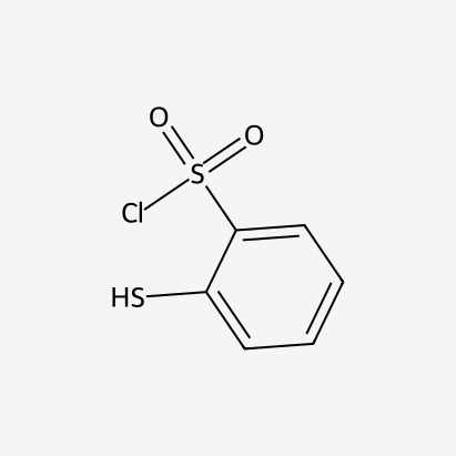 O=S(=O)(Cl)c1ccccc1S